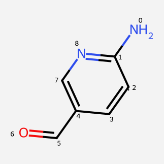 Nc1[c]cc(C=O)cn1